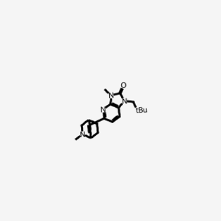 CN1CC2CCC1C=C2c1ccc2c(n1)n(C)c(=O)n2CC(C)(C)C